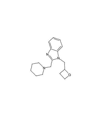 c1ccc2c(c1)nc(CN1CCCCC1)n2CC1CCO1